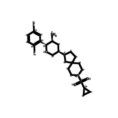 N[C@H]1C[C@@H](N2CCC3(CCN(S(=O)(=O)C4CC4)CC3)C2)CO[C@@H]1c1cc(F)ccc1F